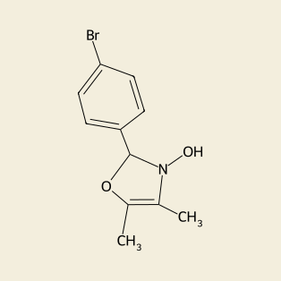 CC1=C(C)N(O)C(c2ccc(Br)cc2)O1